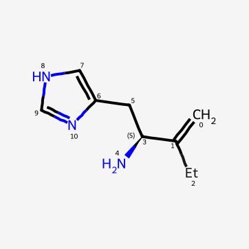 C=C(CC)[C@@H](N)Cc1c[nH]cn1